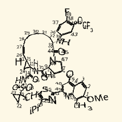 COc1ccc2c(O[C@@H]3C[C@H]4C(=O)N[C@]5(C(=O)NS(=O)(=O)C6(C)CC6)C[C@H]5/C=C\CCCCC[C@H](Nc5ccc(F)c(OC(F)(F)F)c5)C(=O)N4C3)cc(-c3nc(C(C)C)cs3)nc2c1C